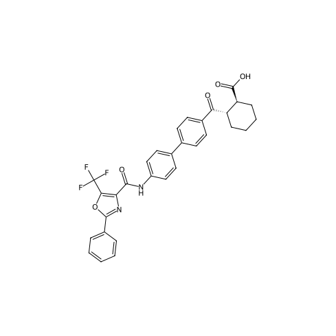 O=C(Nc1ccc(-c2ccc(C(=O)[C@H]3CCCC[C@@H]3C(=O)O)cc2)cc1)c1nc(-c2ccccc2)oc1C(F)(F)F